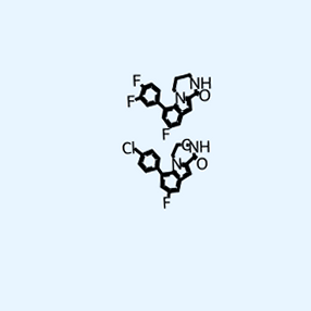 O=C1NCCCn2c1cc1cc(F)cc(-c3ccc(Cl)cc3)c12.O=C1NCCCn2c1cc1cc(F)cc(-c3ccc(F)c(F)c3)c12